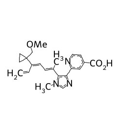 C=C/C(=C\C=C(/C)c1c(-c2cc(C(=O)O)ccn2)ncn1C)C1(COC)CC1